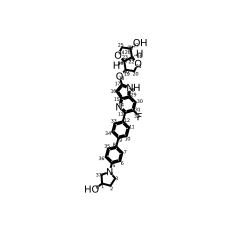 OC1CCN(c2ccc(-c3ccc(-c4nc5cc(O[C@@H]6CO[C@H]7[C@@H]6OC[C@H]7O)[nH]c5cc4F)cc3)cc2)C1